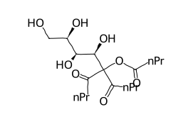 CCCC(=O)OC(C(=O)CCC)(C(=O)CCC)[C@H](O)[C@@H](O)[C@H](O)CO